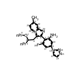 CCCOC(CCC)Cc1c(-c2c(N)cc(-n3ccnn3)cc2F)nc2cc(C)ccn12